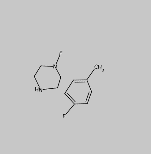 Cc1ccc(F)cc1.FN1CCNCC1